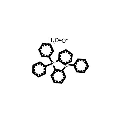 C[O-].c1ccc(Oc2ccccc2[P+](c2ccccc2)(c2ccccc2)c2ccccc2)cc1